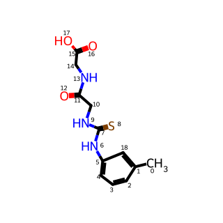 Cc1cccc(NC(=S)NCC(=O)NCC(=O)O)c1